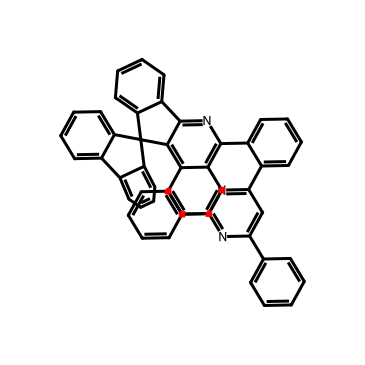 c1ccc(-c2cc(-c3ccccc3-c3nc4c(c5ccccc35)C3(c5ccccc5-c5ccccc53)c3ccccc3-4)nc(-c3ccccc3)n2)cc1